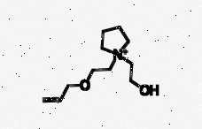 C=CCOCC[N+]1(CCO)CCCC1